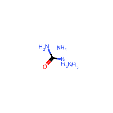 N.N.NC(N)=O